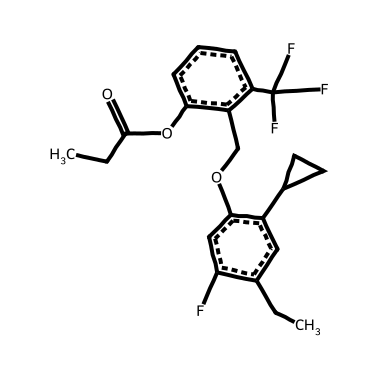 CCC(=O)Oc1cccc(C(F)(F)F)c1COc1cc(F)c(CC)cc1C1CC1